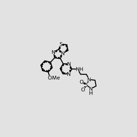 COc1cccc(-c2nc3sccn3c2-c2ccnc(NCCN3CCNS3(=O)=O)n2)c1